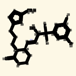 O=C(O)c1ccc(CCCN2C(=O)OCC[C@@H]2/C=C/[C@@H](O)C(F)(F)c2cc(Br)cc(I)c2)s1